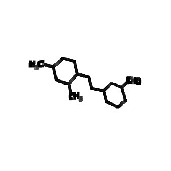 CC1CCC(CCC2CCCC(C=O)C2)C(C)C1